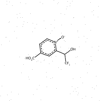 O=C(O)c1cc[n+]([O-])c(C(O)C(F)(F)F)c1